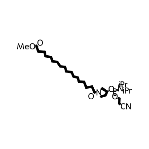 COC(=O)CCCCCCCCCCCCCCCCC(=O)N1CC[C@H](OP(OCCC#N)N(C(C)C)C(C)C)C1